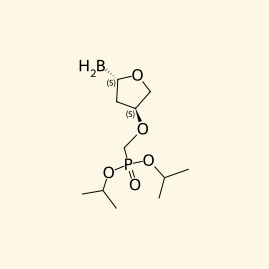 B[C@H]1C[C@H](OCP(=O)(OC(C)C)OC(C)C)CO1